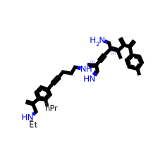 C=C(C(=C)c1ccc(C)cc1)/C(C)=C(/C#C/C(C=N)=C/NCCCC#Cc1ccc(C(=C)CNCC)c(CCC)c1)CN